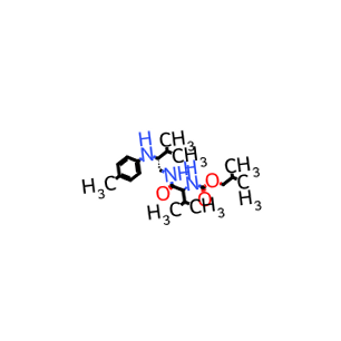 Cc1ccc(N[C@@H](CNC(=O)[C@@H](NC(=O)OCC(C)C)C(C)C)C(C)C)cc1